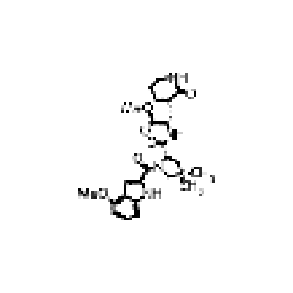 COC(=O)[C@H](C[C@@H]1CCCNC1=O)NC(=O)[C@@H]1C[Si](C)(C)CN1C(=O)c1cc2c(OC)cccc2[nH]1